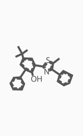 Cc1sc(-c2cc(C(C)(C)C)cc(-c3ccccc3)c2O)nc1-c1ccccc1